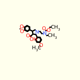 CCOC(=O)N(CC)CCN1CC(c2ccc3c(c2)OCO3)C(C(=O)O)C1c1ccc(OC)cc1